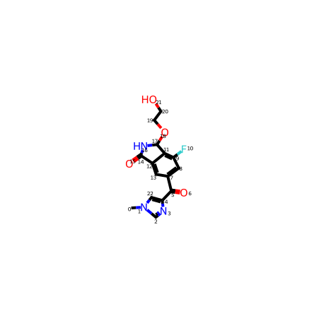 Cn1cnc(C(=O)c2cc(F)c3c(c2)C(=O)NC3OCCO)c1